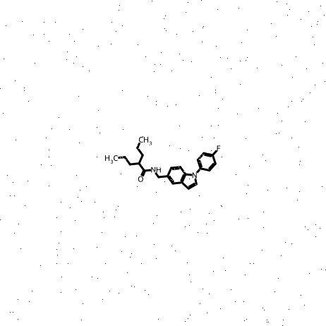 CCCC(CCC)C(=O)NCc1ccc2c(ccn2-c2ccc(F)cc2)c1